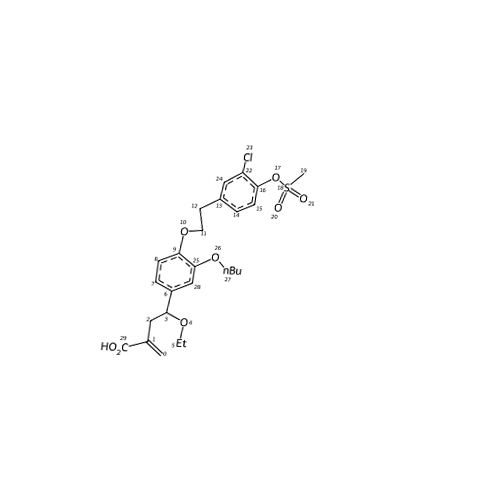 C=C(CC(OCC)c1ccc(OCCc2ccc(OS(C)(=O)=O)c(Cl)c2)c(OCCCC)c1)C(=O)O